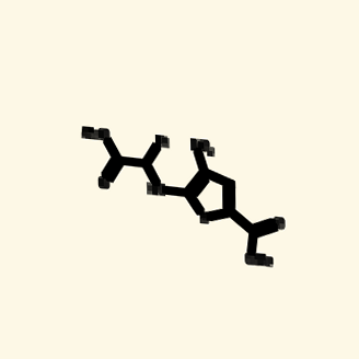 CCC(Nc1sc(C(=O)OC)cc1[N+](=O)[O-])C(=O)OC